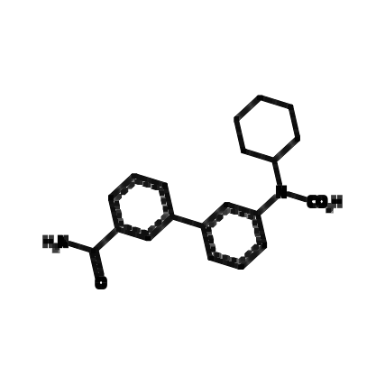 NC(=O)c1cccc(-c2cccc(N(C(=O)O)C3CCCCC3)c2)c1